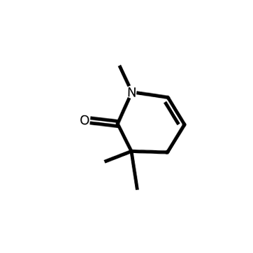 CN1C=CCC(C)(C)C1=O